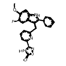 COc1cc2[nH]c(-c3ccccc3)c(Cc3cccc(-c4noc(=O)[nH]4)n3)c2cc1F